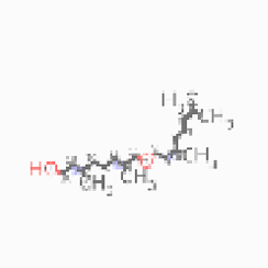 CC(C)=CCC/C(C)=C\COC/C(C)=C/CC/C(C)=C/CO